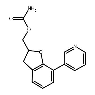 NC(=O)OCC1Cc2cccc(-c3cccnc3)c2O1